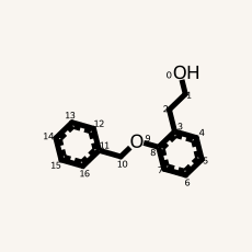 OCCc1ccccc1OCc1ccccc1